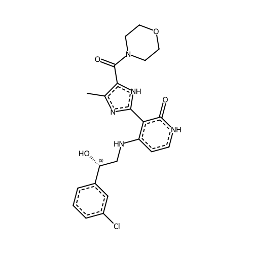 Cc1nc(-c2c(NC[C@@H](O)c3cccc(Cl)c3)cc[nH]c2=O)[nH]c1C(=O)N1CCOCC1